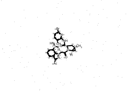 CC(=O)c1nn(CC(=O)N2[C@H](C(=O)Nc3nc(Br)ccc3C)C[C@@]3(C)C[C@@H]23)c2c(S(C)=N)cccc12